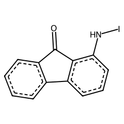 O=C1c2ccccc2-c2cccc(NI)c21